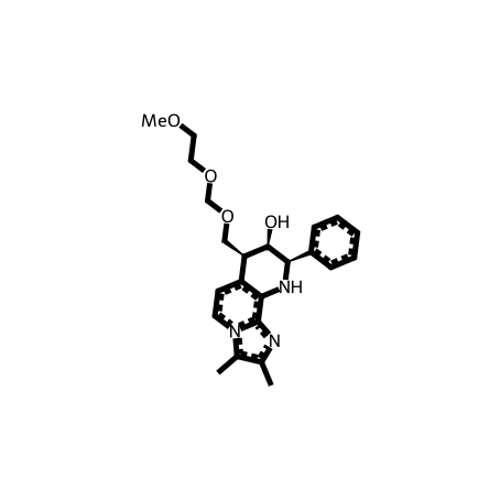 COCCOCOC[C@@H]1c2ccn3c(C)c(C)nc3c2N[C@H](c2ccccc2)[C@@H]1O